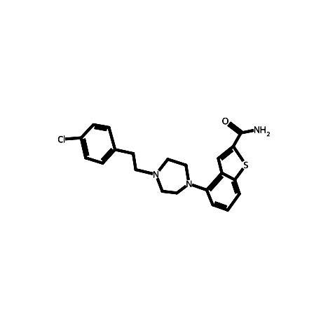 NC(=O)c1cc2c(N3CCN(CCc4ccc(Cl)cc4)CC3)cccc2s1